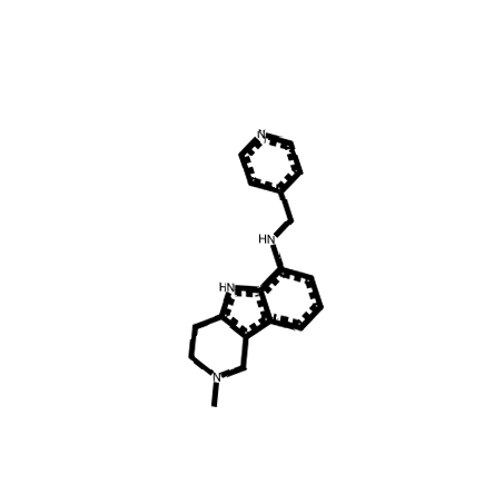 CN1CCc2[nH]c3c(NCc4ccncc4)cccc3c2C1